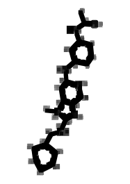 CC(=O)Nc1cccc(Nc2cc3c(cn2)nc(NCc2ccccc2)n3C)c1